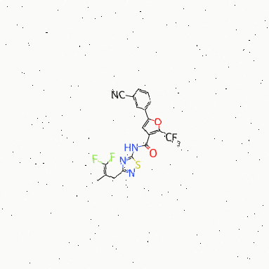 CC(Cc1nsc(NC(=O)c2cc(-c3cccc(C#N)c3)oc2C(F)(F)F)n1)=C(F)F